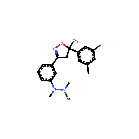 CC(=O)N(C)N(C)c1cccc(C2=NOC(c3cc(C)cc(I)c3)(C(F)(F)F)C2)c1